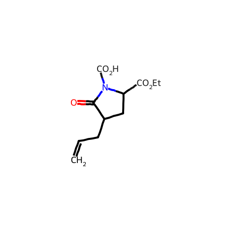 C=CCC1CC(C(=O)OCC)N(C(=O)O)C1=O